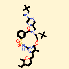 C/C=C/C=C\C(=C\c1nc2nc(c1C)OC[C@@H](CC(C)(C)C)N(Cc1cnc(N(C)CC(C)(C)C)cn1)C(=O)c1cccc(c1)S(=O)(=O)N2)OC(C)C